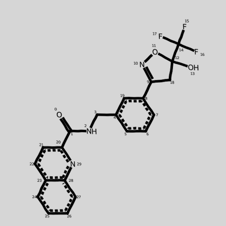 O=C(NCc1cccc(C2=NOC(O)(C(F)(F)F)C2)c1)c1ccc2ccccc2n1